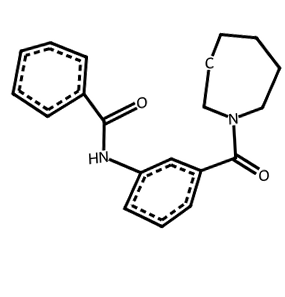 O=C(Nc1cccc(C(=O)N2CCCCCC2)c1)c1ccccc1